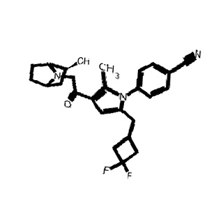 Cc1c(C(=O)CN2C3CCC2[C@@H](O)C3)cc(CC2CC(F)(F)C2)n1-c1ccc(C#N)cc1